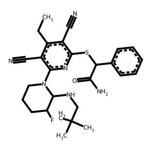 CCc1c(C#N)c(SC(C(N)=O)c2ccccc2)nc(N2CCCC(F)C2NCC(C)(C)C)c1C#N